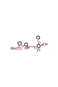 C#Cc1cc(CC)c(OCCCOc2cccc(Oc3ccccc3C(=O)OC)c2CCC)cc1OCc1ccccc1